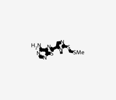 CSCSc1ncc(-c2nc3c(N)ncnc3s2)n1C